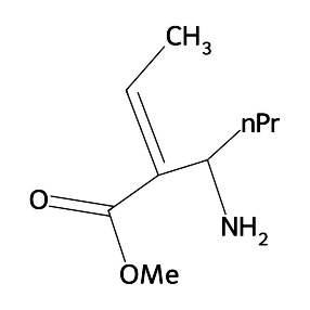 CC=C(C(=O)OC)C(N)CCC